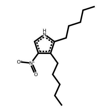 CCCCCc1[nH]cc([N+](=O)[O-])c1CCCCC